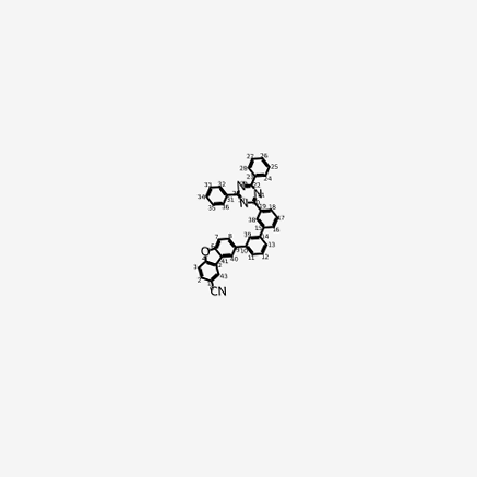 N#Cc1ccc2oc3ccc(-c4cccc(-c5cccc(-c6nc(-c7ccccc7)nc(-c7ccccc7)n6)c5)c4)cc3c2c1